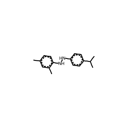 Cc1ccc(NNc2ccc(C(C)C)cc2)c(C)c1